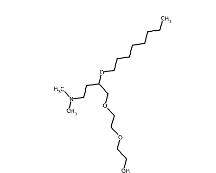 CCCCCCCCOC(CCN(C)C)COCCOCCO